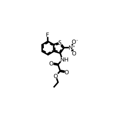 CCOC(=O)C(=O)Nc1c([N+](=O)[O-])sc2c(F)cccc12